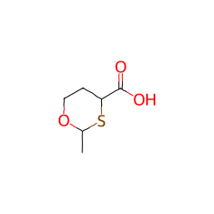 CC1OCCC(C(=O)O)S1